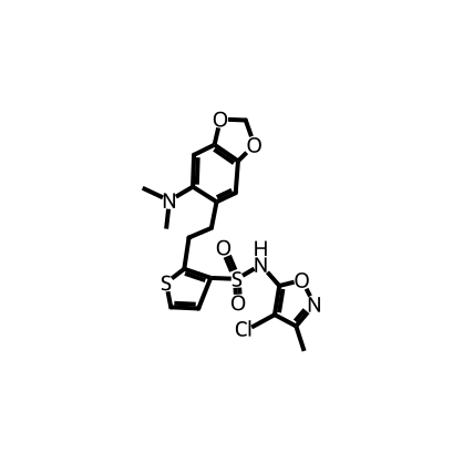 Cc1noc(NS(=O)(=O)c2ccsc2CCc2cc3c(cc2N(C)C)OCO3)c1Cl